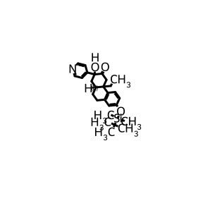 CCC12CC(=O)C(O)(c3ccncc3)C[C@H]1CCc1cc(O[Si](C)(C)C(C)(C)C)ccc12